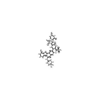 CNC(=O)c1c(-c2ccc(F)cc2F)oc2cc(N(C)S(C)(=O)=O)c(-c3ccc4nc(CN5CCC(C)(C)CC5)n5c6cccc(F)c6cc5c4n3)cc12